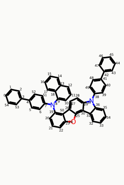 c1ccc(-c2ccc(N(c3cccc4ccccc34)c3cccc4oc5c(ccc6c5c5ccccc5n6-c5ccc(-c6ccccc6)cc5)c34)cc2)cc1